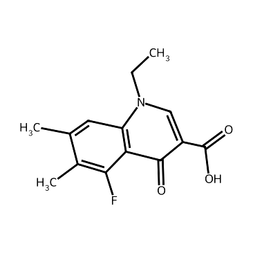 CCn1cc(C(=O)O)c(=O)c2c(F)c(C)c(C)cc21